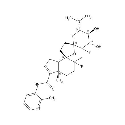 Cc1ncccc1NC(=O)C1=CCC2[C@@]34CC[C@]5(C[C@H](N(C)C)[C@@H](O)[C@H](O)C5(F)CC3(F)CC[C@]12C)O4